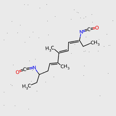 CC\C(=C/C=C(C)/C(C)=C/CC(CC)N=C=O)N=C=O